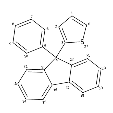 [c]1ccc(C2(c3ccccc3)c3ccccc3-c3ccccc32)s1